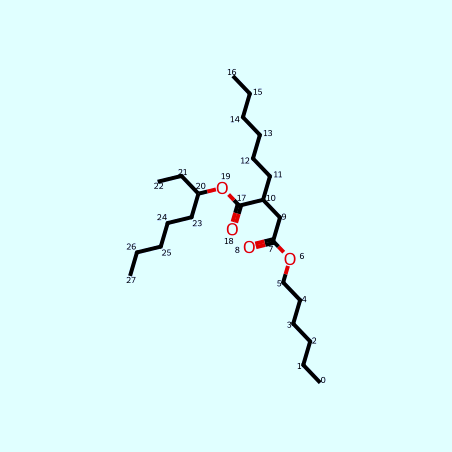 CCCCCCOC(=O)CC(CCCCCC)C(=O)OC(CC)CCCCC